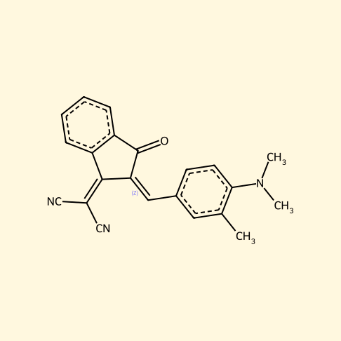 Cc1cc(/C=C2\C(=O)c3ccccc3C2=C(C#N)C#N)ccc1N(C)C